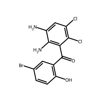 Nc1cc(Cl)c(Cl)c(C(=O)c2cc(Br)ccc2O)c1N